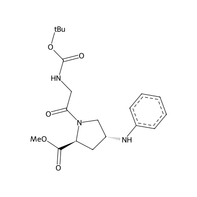 COC(=O)[C@@H]1C[C@@H](Nc2ccccc2)CN1C(=O)CNC(=O)OC(C)(C)C